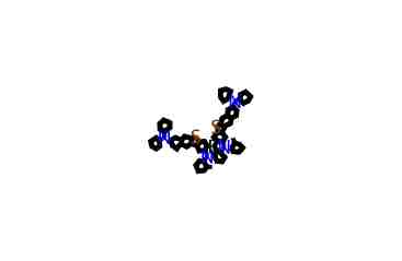 Cc1ccccc1N1c2cc3c(cc2B2c4cc5sc6cc7cc(N(c8ccccc8)c8ccccc8)ccc7cc6c5cc4N(c4ccccc4C)c4cccc1c42)sc1cc2cc(N(c4ccccc4)c4ccccc4)ccc2cc13